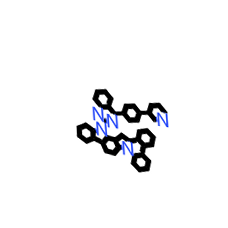 c1cncc(-c2ccc(-c3nc(-n4c5ccccc5c5ccc6c(cc7c8ccccc8c8ccccc8n76)c54)nc4ccccc34)cc2)c1